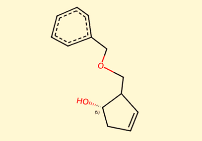 O[C@H]1CC=CC1COCc1ccccc1